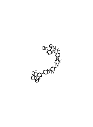 C[C@@H]1CN(Cc2ccc(N3CCC(c4cc(F)c(N5C(=O)CCCC5=O)c(F)c4)CC3)nc2)CCN1c1ccc2c(c1)-n1c(nc(=O)c3c(Br)cccc31)C2(C)C